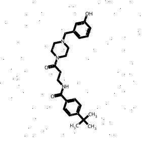 CC(C)(C)c1ccc(C(=O)NCCC(=O)N2CCN(Cc3cccc(O)c3)CC2)cc1